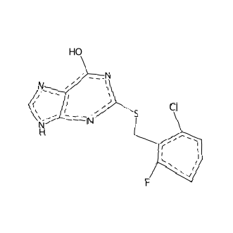 Oc1nc(SCc2c(F)cccc2Cl)nc2[nH]cnc12